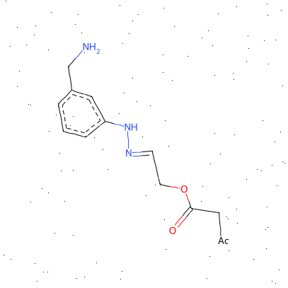 CC(=O)CC(=O)OCC=NNc1cccc(CN)c1